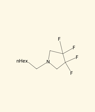 CCCCCCCN1CC(F)(F)C(F)(F)C1